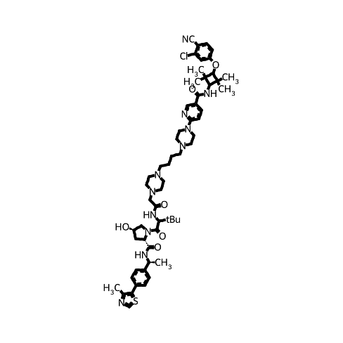 Cc1ncsc1-c1ccc([C@H](C)NC(=O)[C@@H]2C[C@@H](O)CN2C(=O)C(NC(=O)CN2CCN(CCCCN3CCN(c4ccc(C(=O)NC5C(C)(C)C(Oc6ccc(C#N)c(Cl)c6)C5(C)C)cn4)CC3)CC2)C(C)(C)C)cc1